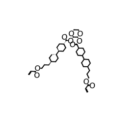 C=CC(=O)OCCCC1CCC(C2CCC(C(=O)O[C@H]3OCCO[C@@H]3OC(=O)[C@H]3CC[C@H]([C@H]4CC[C@H](CCCOC(=O)C=C)CC4)CC3)CC2)CC1